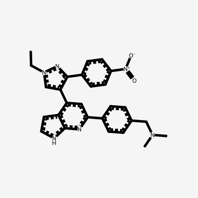 CCn1cc(-c2cc(-c3ccc(CN(C)C)cc3)nc3[nH]ccc23)c(-c2ccc([N+](=O)[O-])cc2)n1